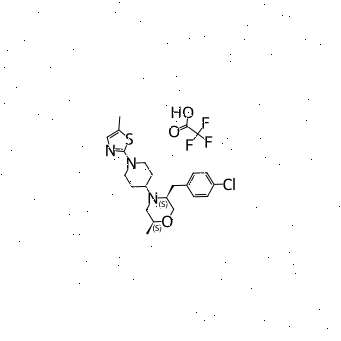 Cc1cnc(N2CCC(N3C[C@H](C)OC[C@@H]3Cc3ccc(Cl)cc3)CC2)s1.O=C(O)C(F)(F)F